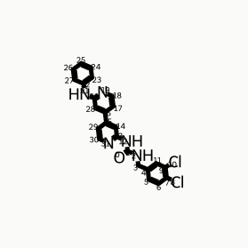 O=C(NCc1ccc(Cl)c(Cl)c1)Nc1cc(-c2ccnc(Nc3ccccc3)c2)ccn1